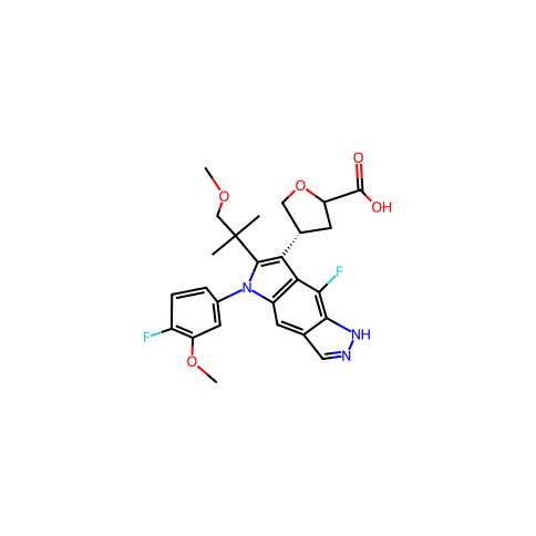 COCC(C)(C)c1c([C@@H]2COC(C(=O)O)C2)c2c(F)c3[nH]ncc3cc2n1-c1ccc(F)c(OC)c1